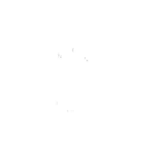 CC1(C)c2ccccc2-c2cc(-c3cc4c5c(c3)N(c3ccccc3)c3c(ccc6ccccc36)B5c3ccc5ccccc5c3N4c3ccccc3)ccc21